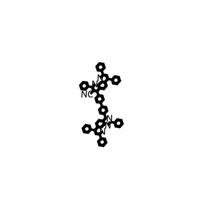 N#Cc1c(-c2ccccc2)nc2c(ccc3c(-c4ccccc4)cc(-c4ccccc4)nc32)c1-c1ccc(-c2ccc(-c3nc(-c4ccccc4)nc4c3ccc3c(-c5ccccc5)cc(-c5ccccc5)nc34)cc2)cc1